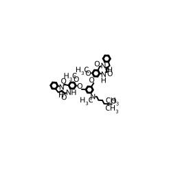 COc1cc2c(cc1OCc1cc(COc3cc4c(cc3OC)C(=O)N3c5ccccc5C[C@H]3C(=O)N4)cc(N(C)CCCCC(C)(C)C=O)c1)NC(=O)[C@@H]1Cc3ccccc3N1C2=O